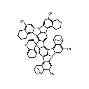 N#Cc1cc2c(c3c1C1CCC3CC1)c1cc3c(c4c5c6c(c(C#N)cc5n2c14)C1CCC6CC1)-c1cc2c4c5c(c(C#N)cc4n4c6cc(C#N)c7c(c6c(c1C31c3ccccc3Oc3ccccc31)c24)C1CCC7CC1)C1CCC5CC1